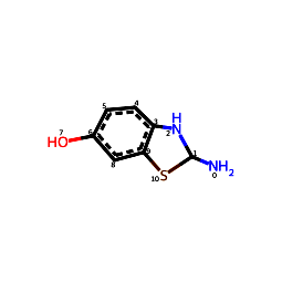 NC1Nc2ccc(O)cc2S1